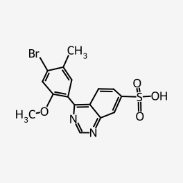 COc1cc(Br)c(C)cc1-c1ncnc2cc(S(=O)(=O)O)ccc12